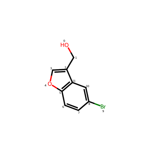 OCc1coc2ccc(Br)cc12